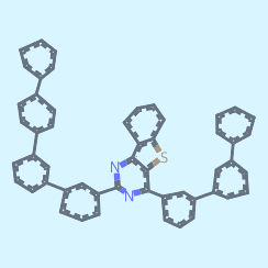 c1ccc(-c2ccc(-c3cccc(-c4cccc(-c5nc(-c6cccc(-c7cccc(-c8ccccc8)c7)c6)c6sc7ccccc7c6n5)c4)c3)cc2)cc1